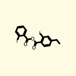 CCc1ccc(C(=O)OC(=O)c2ccccc2I)c(I)c1